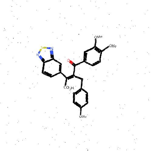 COc1ccc(CC(C(=O)c2ccc(OC)c(OC)c2)=C(C(=O)O)c2ccc3nsnc3c2)cc1